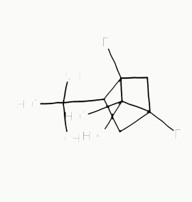 CC(C)(C)C1CC2(F)CC1(F)C2(C)C